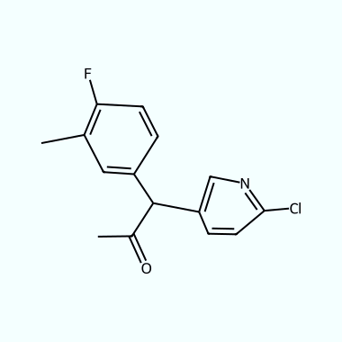 CC(=O)C(c1ccc(Cl)nc1)c1ccc(F)c(C)c1